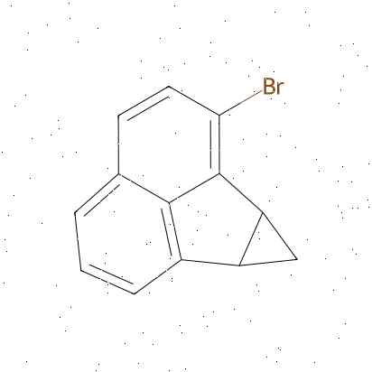 Brc1ccc2cccc3c2c1C1CC31